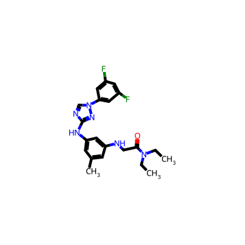 CCN(CC)C(=O)CNc1cc(C)cc(Nc2ncn(-c3cc(F)cc(F)c3)n2)c1